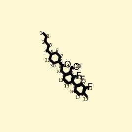 CCCCCC1CCC(C2Cc3ccc(-c4ccc(C)c(F)c4F)c(F)c3C(=O)O2)CC1